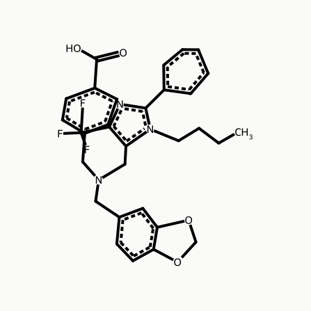 CCCCn1c(-c2ccccc2)nc(C(F)(F)F)c1CN(Cc1ccc(C(=O)O)cc1)Cc1ccc2c(c1)OCO2